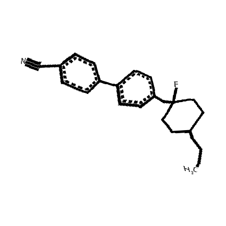 CCC1CCC(F)(c2ccc(-c3ccc(C#N)cc3)cc2)CC1